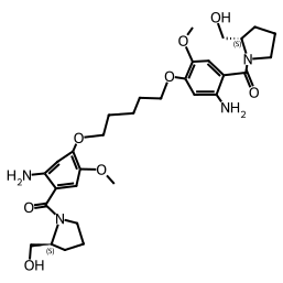 COc1cc(C(=O)N2CCC[C@H]2CO)c(N)cc1OCCCCCOc1cc(N)c(C(=O)N2CCC[C@H]2CO)cc1OC